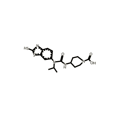 CC(C)N(C(=O)NC1CCN(C(=O)O)CC1)c1ccc2nc(S)sc2c1